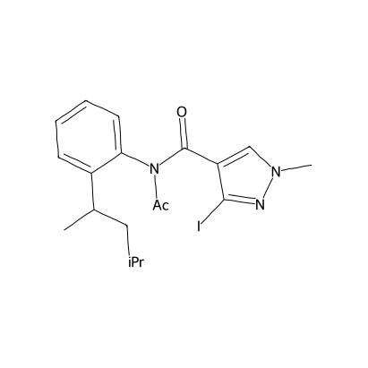 CC(=O)N(C(=O)c1cn(C)nc1I)c1ccccc1C(C)CC(C)C